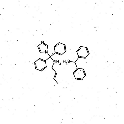 BC(c1ccccc1)c1ccccc1.CC=CC[SiH2]C(c1ccccc1)(c1ccccc1)n1ccnc1